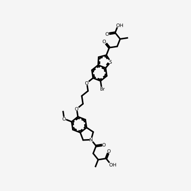 COc1cc2c(cc1OCCCOc1cc3cc(C(=O)CC(C)C(=O)O)sc3cc1Br)CN(C(=O)CC(C)C(=O)O)C2